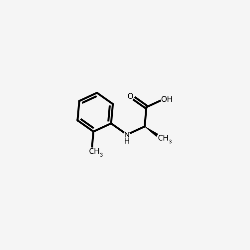 Cc1ccccc1N[C@H](C)C(=O)O